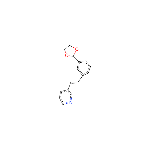 C(=Cc1cccc(C2OCCO2)c1)c1cccnc1